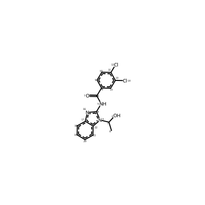 CC(O)n1c(NC(=O)c2ccc(Cl)c(Cl)c2)nc2ccccc21